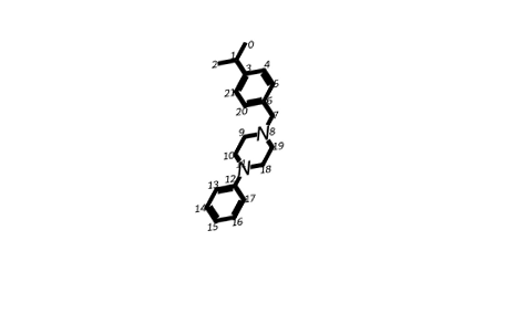 CC(C)c1ccc(CN2CCN(c3ccccc3)CC2)cc1